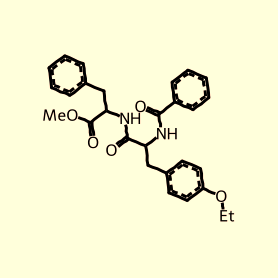 CCOc1ccc(CC(NC(=O)c2ccccc2)C(=O)NC(Cc2ccccc2)C(=O)OC)cc1